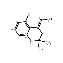 CC1(C)C/C(=N\O)c2c(Cl)cncc2O1